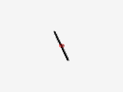 CCCCCCCCCCCCCCOC(=O)CCCCCCCCCCCCCC